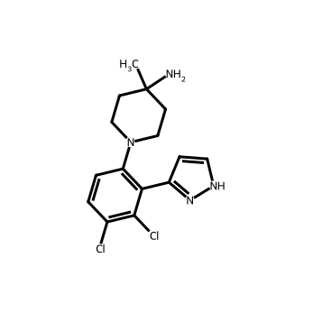 CC1(N)CCN(c2ccc(Cl)c(Cl)c2-c2cc[nH]n2)CC1